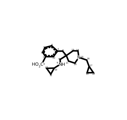 O=C(O)c1cccc(CC2(CNC3CC3)CCN(CC3CC3)CC2)c1